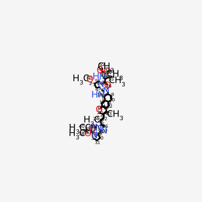 COC[C@H]1C[C@@H](c2nc3ccc4cc5c(cc4c3[nH]2)OCC(/C=C(\C)c2cnc([C@@H]3CCCN3C(=O)OC(C)(C)C)[nH]2)=C5C)N(C(=O)[C@@H](NC(=O)OC)C(C)C)C1